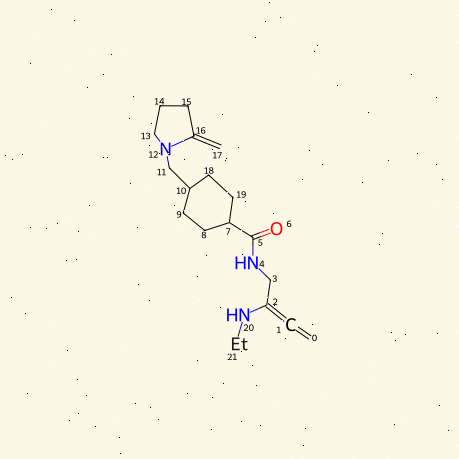 C=C=C(CNC(=O)C1CCC(CN2CCCC2=C)CC1)NCC